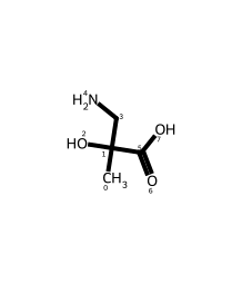 CC(O)(CN)C(=O)O